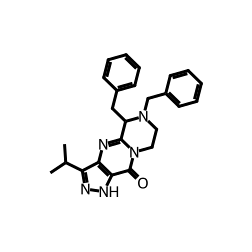 CC(C)c1n[nH]c2c(=O)n3c(nc12)C(Cc1ccccc1)N(Cc1ccccc1)CC3